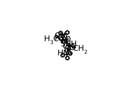 C=CON=C(C(=O)NC1C(=O)N2C(C(=O)OC(c3ccccc3)c3ccccc3)=C(C=CN(C)C)CSC12)c1csc(NC(c2ccccc2)(c2ccccc2)c2ccccc2)n1